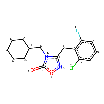 O=c1onc(Cc2c(F)cccc2Cl)n1CC1CCCCC1